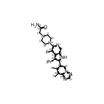 Cc1c(-c2[nH]c3cnc(N4CCN(CC(N)=O)CC4)c(F)c3c2C(C)C)cn2ncnc2c1C